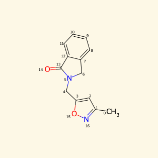 Cc1cc(CN2Cc3ccccc3C2=O)on1